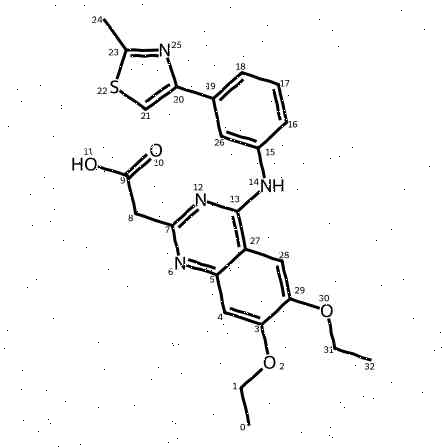 CCOc1cc2nc(CC(=O)O)nc(Nc3cccc(-c4csc(C)n4)c3)c2cc1OCC